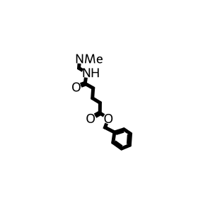 CNCNC(=O)CCCC(=O)OCc1ccccc1